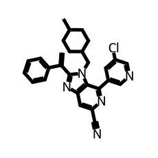 C=C(c1ccccc1)c1nc2cc(C#N)nc(-c3cncc(Cl)c3)c2n1CC1CCC(C)CC1